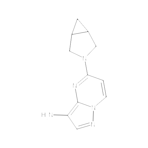 Nc1cnn2ccc(N3CC4CC4C3)nc12